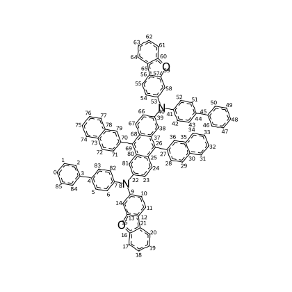 c1ccc(-c2ccc(N(c3ccc4c(c3)oc3ccccc34)c3ccc4c(-c5ccc6ccccc6c5)c5cc(N(c6ccc(-c7ccccc7)cc6)c6ccc7c(c6)oc6ccccc67)ccc5c(-c5ccc6ccccc6c5)c4c3)cc2)cc1